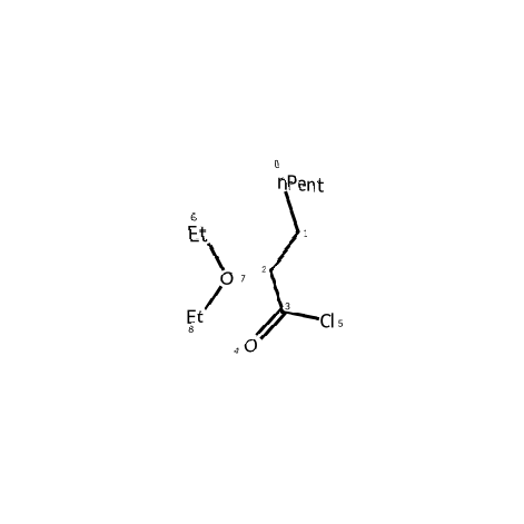 CCCCCCCC(=O)Cl.CCOCC